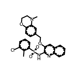 Cc1c(Cl)cccc1S(=O)(=O)Nc1nc2ccccc2cc1OCc1ccc2c(c1)N(C)CCO2